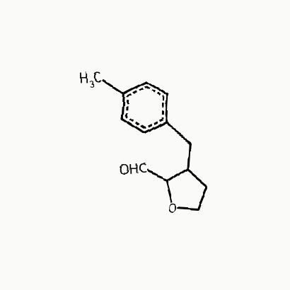 Cc1ccc(CC2CCOC2C=O)cc1